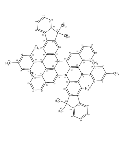 Cc1cc(C)c(B2c3cc4c(cc3N3c5cc6ccccc6c6c5N(c5cc7c(cc5B6c5c(C)cc(C)cc5C)-c5ccccc5C7(C)C)c5cc6ccccc6c2c53)C(C)(C)c2ccccc2-4)c(C)c1